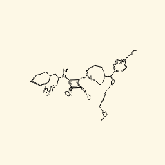 COCCCOC(c1ccc(F)cc1)C1CCCN(c2c(NC(CN)CC3CCCCC3)c(=O)c2=O)C1